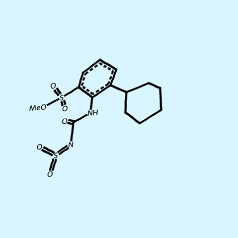 COS(=O)(=O)c1cccc(C2CCCCC2)c1NC(=O)N=S(=O)=O